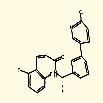 C[C@H](NC(=O)/C=C\c1c(F)cccc1F)c1cccc(-c2ccc(Cl)nc2)c1